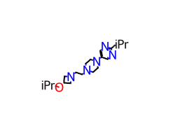 CC(C)OC1CN(CCN2CCN(c3cnc(C(C)C)nc3)CC2)C1